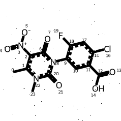 Cc1c([N+](=O)[O-])c(=O)n(-c2cc(C(=O)O)c(Cl)cc2F)c(=O)n1C